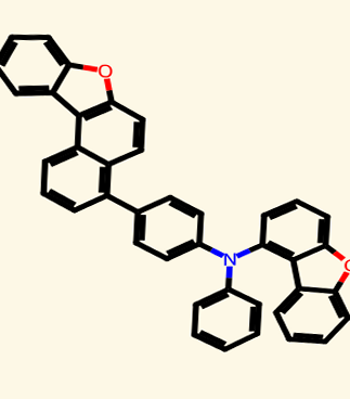 c1ccc(N(c2ccc(-c3cccc4c3ccc3oc5ccccc5c34)cc2)c2cccc3oc4ccccc4c23)cc1